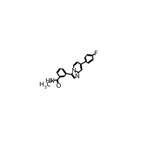 CNC(=O)c1cccc(-c2cnc3cc(-c4ccc(F)cc4)ccn23)c1